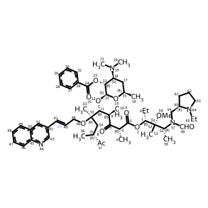 CC[C@@H](OC(=O)[C@H](C)C(=O)[C@H](C)[C@@H](O[C@@H]1O[C@H](C)C[C@H](N(C)C)[C@H]1OC(=O)c1ccccc1)[C@@](C)(C[C@@H](C)C(C)=O)OC/C=C/c1cnc2ccccc2c1)[C@@](C)(OC)[C@@H](C)N(C=O)C[C@H]1CCCN1CC